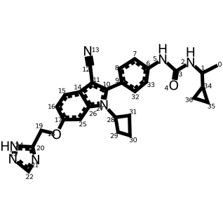 CC(NC(=O)Nc1ccc(-c2c(C#N)c3ccc(OCc4ncn[nH]4)cc3n2C2CCC2)cc1)C1CC1